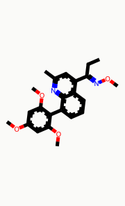 CCC(=NOC)c1cc(C)nc2c(-c3c(OC)cc(OC)cc3OC)cccc12